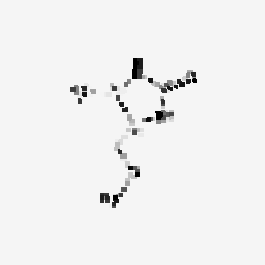 COC[C@H]1NC(=O)N[C@H]1C